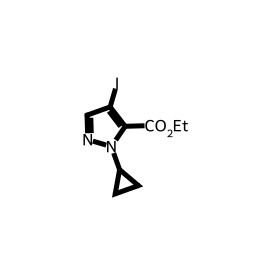 CCOC(=O)c1c(I)cnn1C1CC1